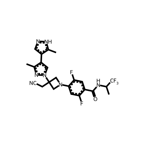 Cc1nn(C2(CC#N)CN(c3cc(F)c(C(=O)NC(C)C(F)(F)F)cc3F)C2)cc1-c1cn[nH]c1C